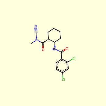 CN(C#N)C(=O)[C@H]1CCCC[C@H]1NC(=O)c1ccc(Cl)cc1Cl